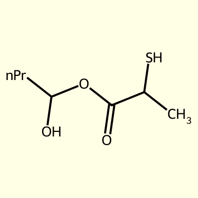 CCCC(O)OC(=O)C(C)S